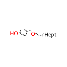 CCCCCCCCCOCc1ccc(O)cc1